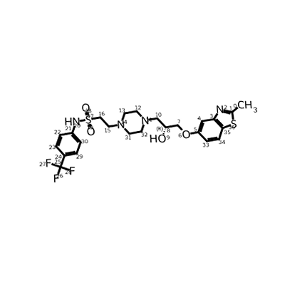 Cc1nc2cc(OC[C@H](O)CN3CCN(CCS(=O)(=O)Nc4ccc(C(F)(F)F)cc4)CC3)ccc2s1